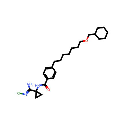 N/C(=N\Cl)C1(NC(=O)c2ccc(CCCCCCCOCC3CCCCC3)cc2)CC1